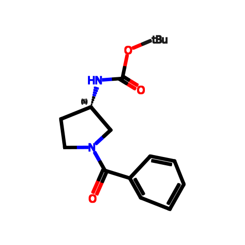 CC(C)(C)OC(=O)N[C@H]1CCN(C(=O)c2ccccc2)C1